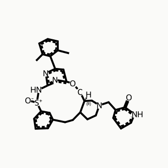 Cc1cccc(C)c1-c1cc2nc(n1)N[S+]([O-])c1cccc(c1)CCC1CCN(Cc3ccc[nH]c3=O)C[C@@H]1CO2